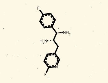 N[C@H](c1ccc(F)cc1)[C@@H](N)Cc1ccc(F)nc1